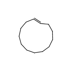 [CH]1CCCCC/C=C/CCCCC1